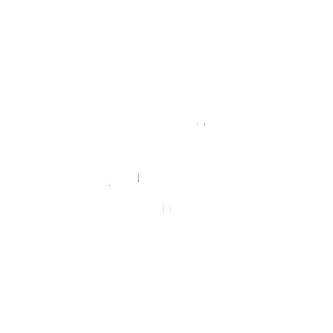 CC(C)C1C2CCCOC2CCN1C(C)C